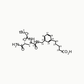 CC(C)(C)OC(=O)N[C@@H](CCC(N)=O)C(=O)NCc1cccc(CCCCC(=O)O)c1